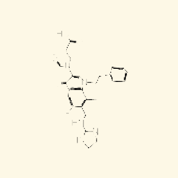 O=CN(CCC(=O)O)c1cn(CCc2ccccc2)c2c(F)c(CNC3NCCN3)c(F)cc2c1=O